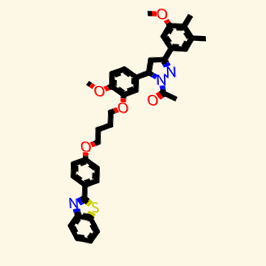 COc1ccc(C2CC(c3cc(C)c(C)c(OC)c3)=NN2C(C)=O)cc1OCCCCOc1ccc(-c2nc3ccccc3s2)cc1